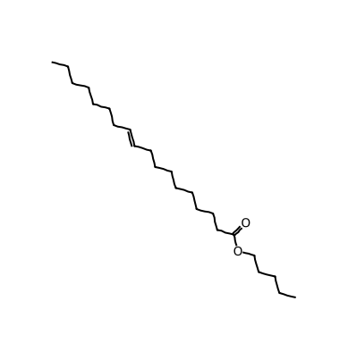 CCCCCCCC=CCCCCCCCCC(=O)OCCCCC